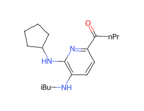 CCCC(=O)c1ccc(NC(C)CC)c(NC2CCCC2)n1